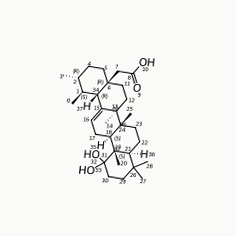 C[C@H]1[C@H](C)CC[C@]2(CC(=O)O)CC[C@]3(C)C(=CC[C@@H]4[C@]5(C)[C@@H](CC[C@]43C)C(C)(C)CCC5(O)O)[C@H]12